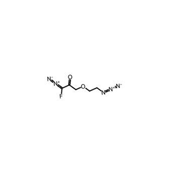 [N-]=[N+]=NCCOCC(=O)C(F)=[N+]=[N-]